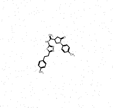 C=C(Nc1nnc(CCc2ccc(C)cc2)s1)C1CC(=O)N(c2ccc(C)cc2)C1